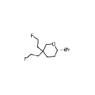 CC(C)[C@@H]1CCC(CCF)(CCF)CO1